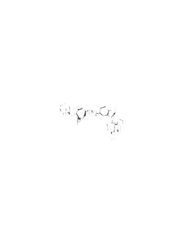 O=C1CCC(c2coc3ccc(NCc4ccc(CN5CCCCC5)c(F)c4)cc23)C(=O)N1